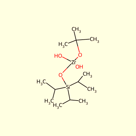 CC(C)[Si]([O][Zr]([OH])([OH])[O]C(C)(C)C)(C(C)C)C(C)C